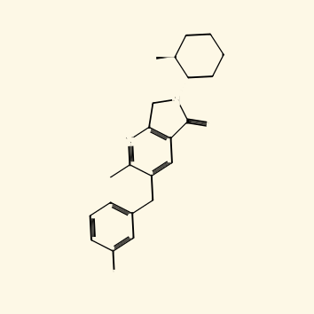 Cc1nc2c(cc1Cc1cccc(F)c1)C(=O)N([C@H]1CCCC[C@@H]1O)C2